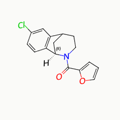 O=C(c1ccco1)N1CCC2C[C@@H]1c1ccc(Cl)cc12